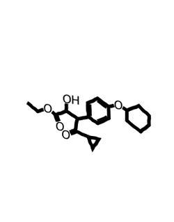 CCOC(=O)C(O)C(C(=O)C1CC1)c1ccc(OC2CCCCC2)cc1